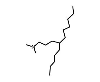 CCCCCCC(CCCCC)CCCN(C)C